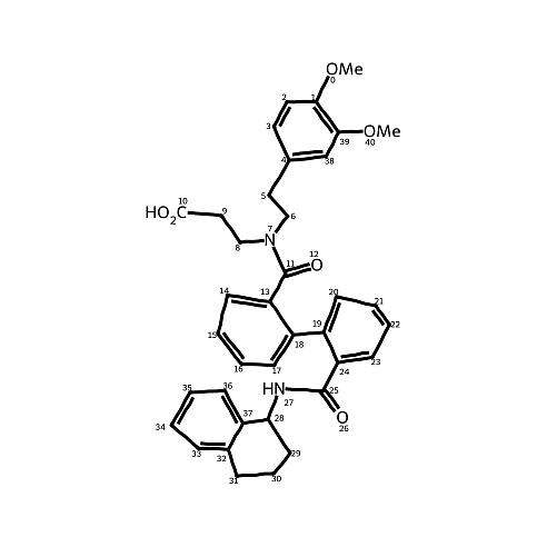 COc1ccc(CCN(CCC(=O)O)C(=O)c2ccccc2-c2ccccc2C(=O)NC2CCCc3ccccc32)cc1OC